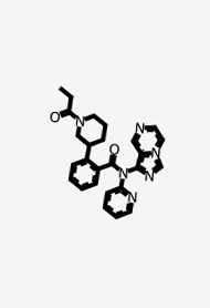 CCC(=O)N1CCCC(c2ccccc2C(=O)N(c2ccccn2)c2ncn3ccncc23)C1